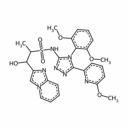 COc1cccc(-c2nnc(NS(=O)(=O)C(C)C(O)c3cn4ccccc4n3)n2-c2c(OC)cccc2OC)n1